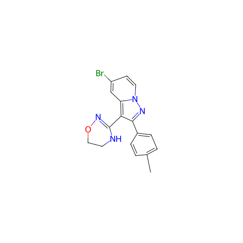 Cc1ccc(-c2nn3ccc(Br)cc3c2C2=NOCCN2)cc1